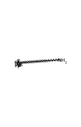 NCCCCCCCCCCCCCCCCCCCCCCCCCCCCCCCc1c(F)c(F)c(F)c(F)c1F